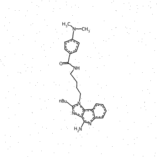 CCCCc1nc2c(N)nc3ccccc3c2n1CCCCNC(=O)c1ccc(N(C)C)cc1